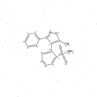 N#Cc1onc(-c2ccccc2)c1-c1ccccc1S(N)(=O)=O